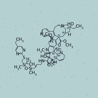 CCc1cnc(SC[Si](C)(C)O[Si](C)(C)CCCNC(=O)[C@@]2(O)[C@H](O)[C@]3(CC)C=CCN4CC[C@@]5(c6cc([C@@]7(C(=O)OC)C[C@H]8C[N@@](CCc9c7[nH]c7ccccc97)C[C@](O)(CC)C8)c(OC)cc6N(C)[C@@H]25)[C@@H]43)nc1